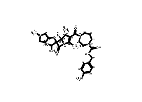 CC(O)C1(SC2CCN(C)C2)C(=O)N2C(C(=O)O)=C(C(=O)N3CCCN(C(=O)OCc4ccc([N+](=O)[O-])cc4)CC3)[C@@H](C)[C@H]21